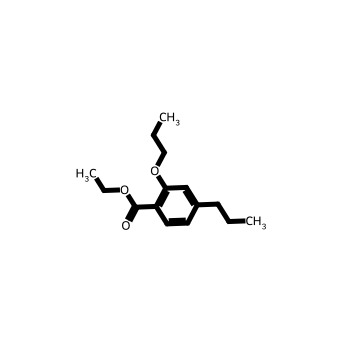 CCCOc1cc(CCC)ccc1C(=O)OCC